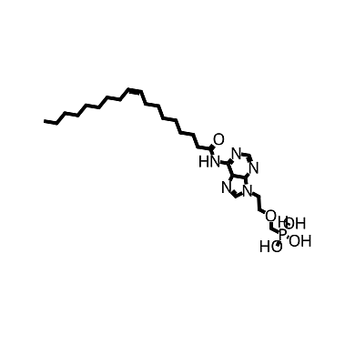 CCCCCCCC/C=C\CCCCCCCC(=O)NC1=NC=NC2C1N=CN2CCOC[PH](O)(O)O